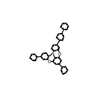 c1ccc(-c2ccc(-c3ccc4c(c3)Oc3cc(-c5ccccc5)cc5c3N4c3ccc(-c4ccccc4)cc3O5)cc2)cc1